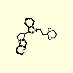 c1ccc2c(c1)cc1n2CCC1c1cn(CCC2OCCCO2)c2ccccc12